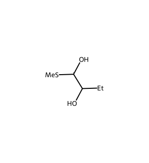 CCC(O)[C](O)SC